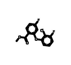 COC(=O)c1ccc(F)cc1Oc1cccc(F)c1Cl